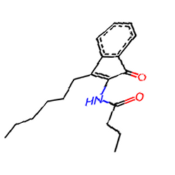 CCCCCCC1=C(NC(=O)CCC)C(=O)c2ccccc21